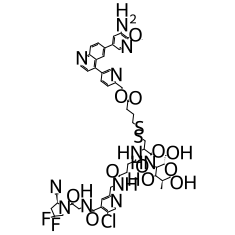 COc1ncc(-c2ccc3nccc(-c4ccc(COC(=O)CCCSSCC(NC(=O)CCC(=O)NCc5cc(C(=O)NCC(=O)N6CC(F)(F)C[C@H]6C#N)c(Cl)cn5)C(=O)N[C@@H]5[C@@H](O)[C@H](C)C(O)O[C@H]5CO)nc4)c3c2)cc1N